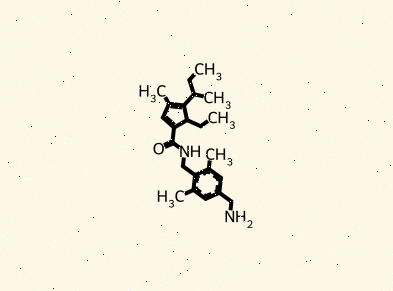 CCC(C)C1=C(C)C=C(C(=O)NCc2c(C)cc(CN)cc2C)C1CC